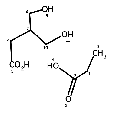 CCC(=O)O.O=C(O)CC(CO)CO